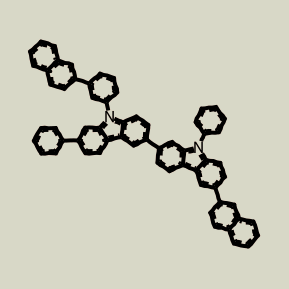 c1ccc(-c2ccc3c4cc(-c5ccc6c7cc(-c8ccc9ccccc9c8)ccc7n(-c7ccccc7)c6c5)ccc4n(-c4cccc(-c5ccc6ccccc6c5)c4)c3c2)cc1